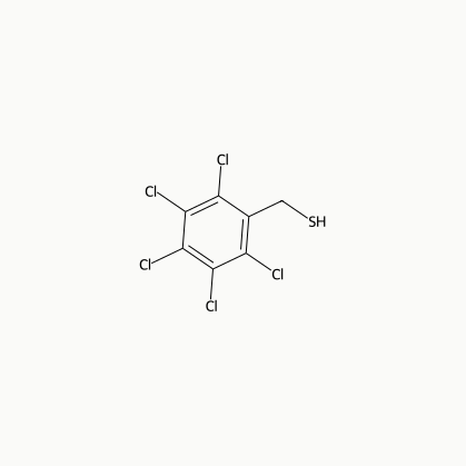 SCc1c(Cl)c(Cl)c(Cl)c(Cl)c1Cl